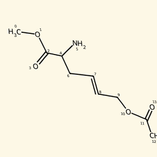 COC(=O)C(N)CC=CCOC(C)=O